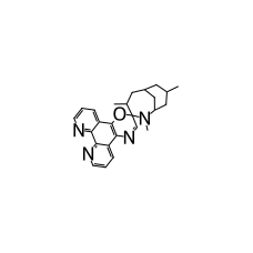 CC1CC2CC(C1)N(C)C1(C=Nc3c(c4cccnc4c4ncccc34)O1)C(C)C2